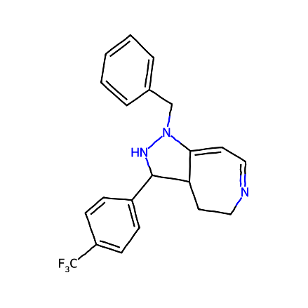 FC(F)(F)c1ccc(C2NN(Cc3ccccc3)C3=CC=NCCC32)cc1